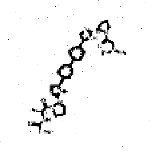 COC(=O)N[C@H](C(=O)N1CCC[C@H]1c1ncc(-c2ccc(-c3ccc(-c4cnc([C@@H]5CCCN5C(=O)CN(C(C)C)C(C)C)[nH]4)cc3)cc2)[nH]1)C(C)C